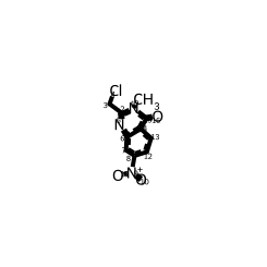 Cn1c(CCl)nc2cc([N+](=O)[O-])ccc2c1=O